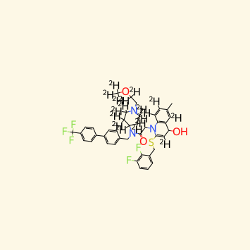 [2H]C1=C(SCc2cccc(F)c2F)N(CC(=O)N(Cc2ccc(-c3ccc(C(F)(F)F)cc3)cc2)C2([2H])C([2H])([2H])C([2H])([2H])N(CC([2H])([2H])OC([2H])([2H])[2H])C([2H])([2H])C2([2H])[2H])c2c([2H])c([2H])c(C)c([2H])c2C1O